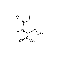 [CH2]CC(=O)N(C)C(CS)C(=O)O